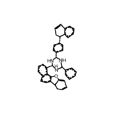 C1=CCC2C(=C1)Oc1c2ccc2cccc(C3NC(c4ccccc4)NC(c4ccc(C5CC=Cc6ccccc65)cc4)N3)c12